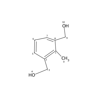 Cc1c([CH]O)cccc1CO